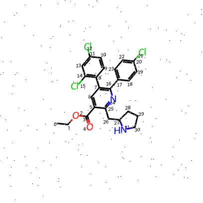 CCOC(=O)c1cc(-c2ccc(Cl)cc2Cl)c(-c2ccc(Cl)cc2)nc1CC1CCCN1